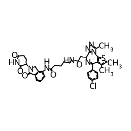 Cc1sc2c(c1C)C(c1ccc(Cl)cc1)=N[C@@H](CC(=O)NCCCCC(=O)Nc1cccc3c1CN(C1CCC(=O)NC1=O)C3=O)c1nnc(C)n1-2